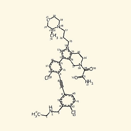 CCNCc1cc(C#Cc2cc(-c3nn(CCCN4CCOC[C@@H]4C)c4c3CN(C(=O)C(N)=O)CC4)ccc2Cl)ccc1Cl